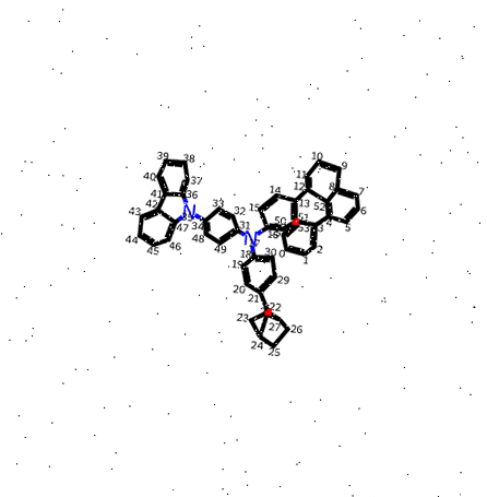 c1ccc(-c2cccc3cccc(-c4ccc(N(c5ccc(C6CC7CCC6C7)cc5)c5ccc(-n6c7ccccc7c7ccccc76)cc5)cc4)c23)cc1